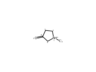 [CH2-][NH+]1CCC(=O)C1